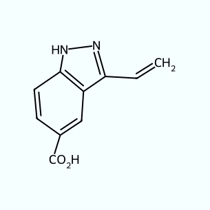 C=Cc1n[nH]c2ccc(C(=O)O)cc12